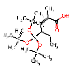 CCC(C=C(C)C(=O)O)[Si](O[Si](C)(C)C)(O[Si](C)(C)C)O[Si](C)(C)C